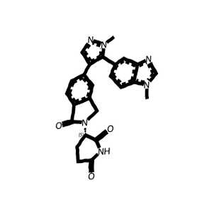 Cn1ncc(-c2ccc3c(c2)CN([C@H]2CCC(=O)NC2=O)C3=O)c1-c1ccc2c(c1)ncn2C